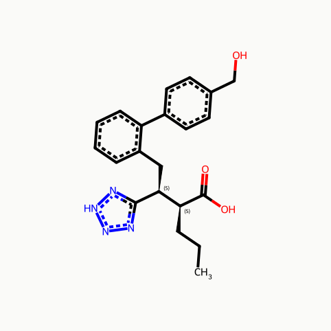 CCC[C@H](C(=O)O)[C@H](Cc1ccccc1-c1ccc(CO)cc1)c1nn[nH]n1